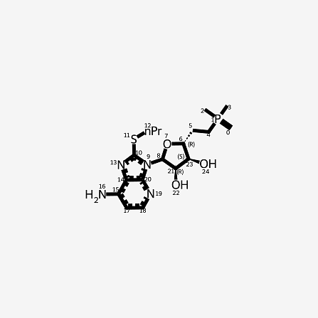 C=P(C)(C)CC[C@H]1OC(n2c(SCCC)nc3c(N)ccnc32)[C@H](O)[C@@H]1O